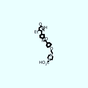 CCC1CC(=O)NN=C1c1ccc2nc(-c3ccc(OCCN4CCN(C(=O)O)CC4)cc3)oc2c1